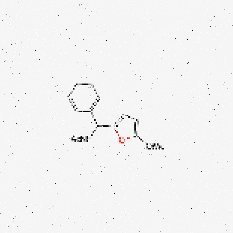 COc1ccc(C(NC(C)=O)c2ccccc2)o1